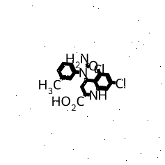 Cc1cccc(N(C(N)=O)C2CC(C(=O)O)Nc3cc(Cl)cc(Cl)c32)c1